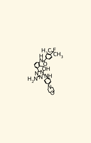 CC(C)(F)c1ccc(C(=O)Nc2cccc(-c3nc(N)nc(Nc4ccc(N5CCOCC5)cc4)n3)c2CO)cc1